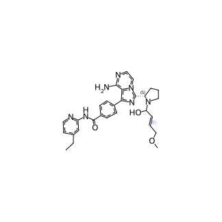 CCc1ccnc(NC(=O)c2ccc(-c3nc([C@@H]4CCCN4C(O)/C=C/COC)n4ccnc(N)c34)cc2)c1